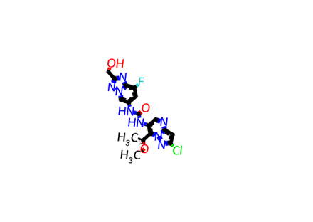 CO[C@@H](C)c1c(NC(=O)Nc2cc(F)c3nc(CO)nn3c2)cnc2cc(Cl)nn12